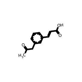 CC(=O)Cc1cccc(/C=C/C(=O)O)c1